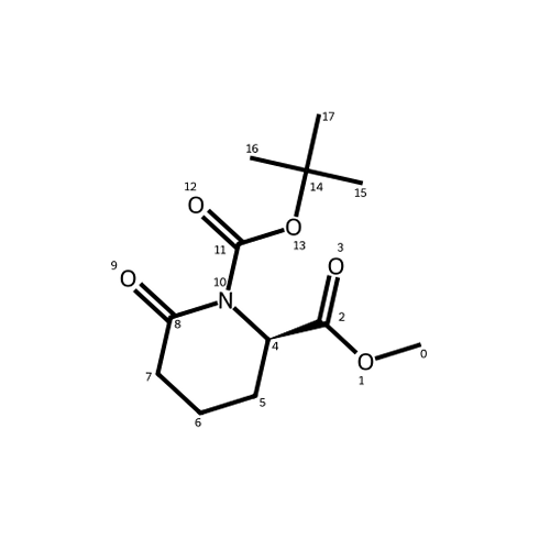 COC(=O)[C@H]1CCCC(=O)N1C(=O)OC(C)(C)C